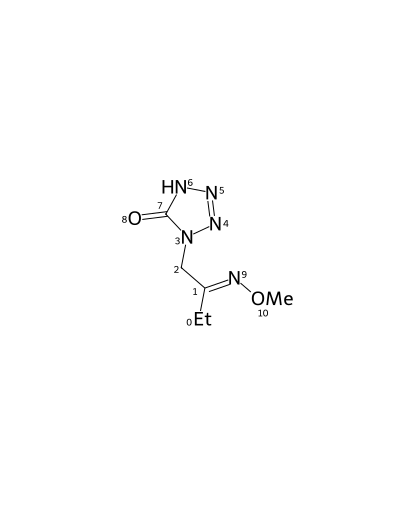 CCC(Cn1nn[nH]c1=O)=NOC